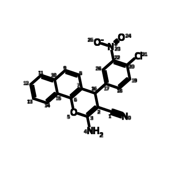 N#CC1=C(N)Oc2c(ccc3ccccc23)C1c1ccc(Cl)c([N+](=O)[O-])c1